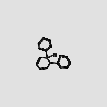 CCC1(c2ccccc2)C=CC=CC1c1ccccc1